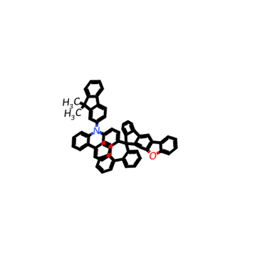 CC1(C)c2ccccc2-c2ccc(N(c3ccc4c(c3)-c3ccccc3-c3ccccc3C43c4ccccc4-c4cc5c(cc43)oc3ccccc35)c3ccccc3-c3ccccc3)cc21